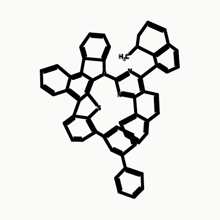 CC1CC=Cc2cccc(-c3nc(-n4c5ccccc5c5c6ccccc6c6c7cccc(-c8cccc(-c9ccccc9)c8)c7sc6c54)nc4c3ccc3ccccc34)c21